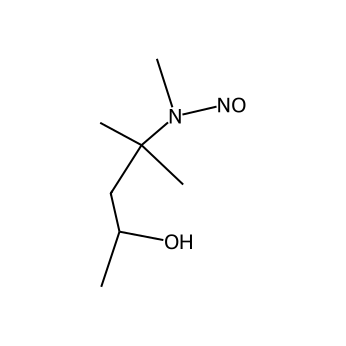 CC(O)CC(C)(C)N(C)N=O